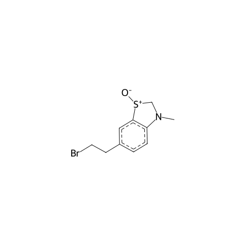 CN1C[S+]([O-])c2cc(CCBr)ccc21